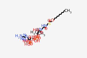 CCCCCCCCCCCOCC(=O)SCCNC(=O)CCNC(=O)[C@H](O)C(C)(C)COP(=O)(O)OP(=O)(O)OC[C@H]1O[C@@H](n2cnc3c(N)ncnc32)[C@H](O)[C@@H]1OP(=O)(O)O